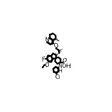 CCOc1cc2c(cc1F)C[C@H](C[C@@H](C)COc1ccnc3c1[C@H](C)CCC3)C21CCC(Nc2cccc(Cl)c2)(C(=O)O)CC1